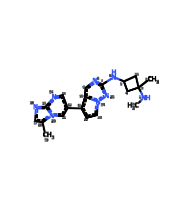 CNC1(C)CC(Nc2ncc3c(-c4cnc5ncc(C)n5c4)ccn3n2)C1